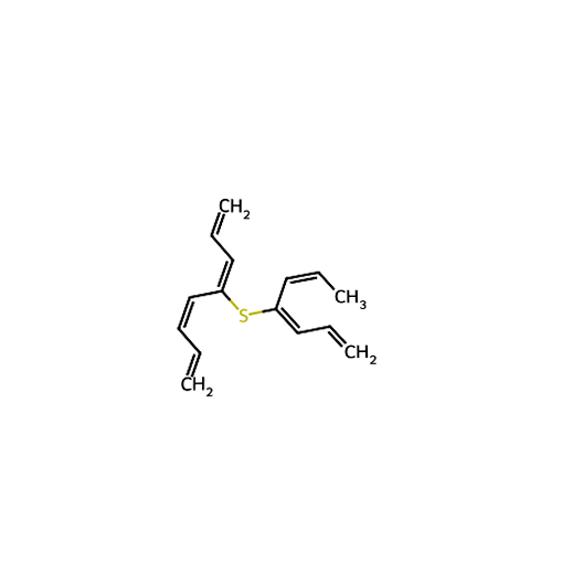 C=C/C=C\C(=C/C=C)SC(/C=C\C)=C/C=C